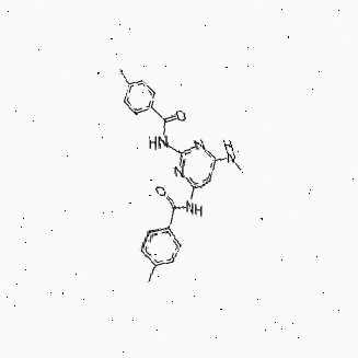 CNc1cc(NC(=O)c2ccc(C)cc2)nc(NC(=O)c2ccc(C)cc2)n1